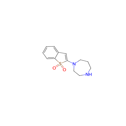 O=S1(=O)C(N2CCCNCC2)=Cc2ccccc21